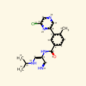 Cc1ccc(C(=O)N/C(C=N)=C/NC(C)C)cc1-c1cncc(Cl)n1